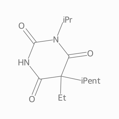 CCCC(C)C1(CC)C(=O)NC(=O)N(C(C)C)C1=O